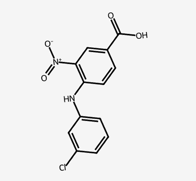 O=C(O)c1ccc(Nc2cccc(Cl)c2)c([N+](=O)[O-])c1